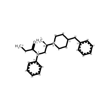 CCC(=O)N(C[C@@H](C)N1CCC(Cc2ccccc2)CC1)c1ccccc1